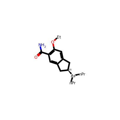 CCC[As](CCC)[C@@H]1Cc2cc(OCC)c(C(N)=O)cc2C1